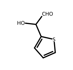 O=CC(O)c1cccs1